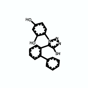 Oc1ccc(-n2nnc(S)c2-c2ccccc2-c2ccccc2)c(O)c1